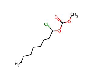 CCCCCCCC(Cl)OC(=O)OC